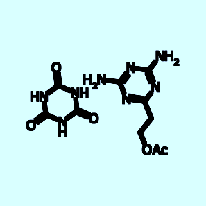 CC(=O)OCCc1nc(N)nc(N)n1.O=c1[nH]c(=O)[nH]c(=O)[nH]1